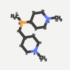 CN1CCC(CP(C)C2CCN(C)CC2)CC1